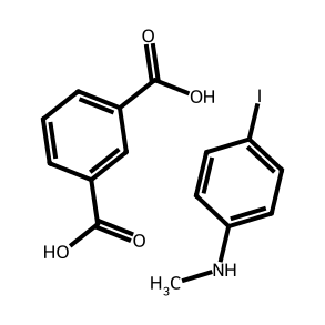 CNc1ccc(I)cc1.O=C(O)c1cccc(C(=O)O)c1